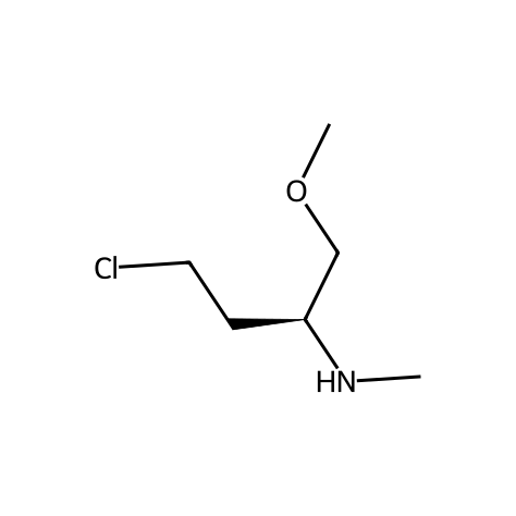 CN[C@@H](CCCl)COC